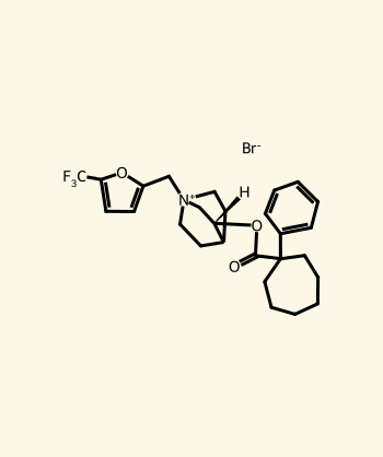 O=C(O[C@H]1C[N+]2(Cc3ccc(C(F)(F)F)o3)CCC1CC2)C1(c2ccccc2)CCCCCC1.[Br-]